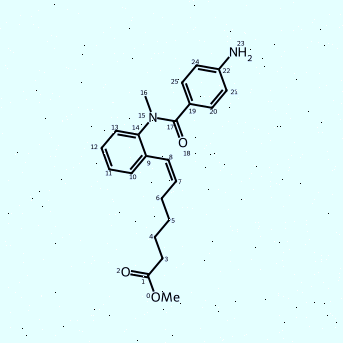 COC(=O)CCCC/C=C\c1ccccc1N(C)C(=O)c1ccc(N)cc1